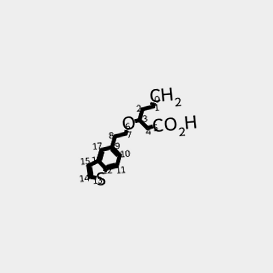 C=CCC(CC(=O)O)OCCc1ccc2sccc2c1